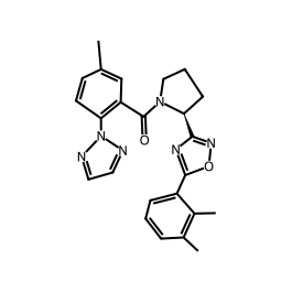 Cc1ccc(-n2nccn2)c(C(=O)N2CCC[C@H]2c2noc(-c3cccc(C)c3C)n2)c1